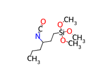 CCCC(CC[Si](OC)(OC)OC)N=C=O